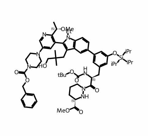 CCn1c(-c2cc(N3CCN(C(=O)OCc4ccccc4)CC3)cnc2[C@H](C)OC)c(CC(C)(C)CO)c2cc(-c3cc(C[C@H](NC(=O)OC(C)(C)C)C(=O)N4CCC[C@@H](C(=O)OC)N4)cc(O[Si](C(C)C)(C(C)C)C(C)C)c3)ccc21